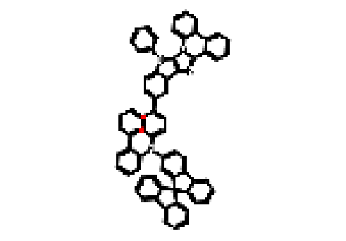 c1ccc(-c2ccccc2N(c2ccc(-c3ccc4c(c3)c3nc5c6ccccc6c6ccccc6n5c3n4-c3ccccc3)cc2)c2ccc3c(c2)C2(c4ccccc4-c4ccccc42)c2ccccc2-3)cc1